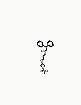 CS(=O)(=O)N1CC(OCCCNCC(c2ccccc2)c2ccccc2)C1